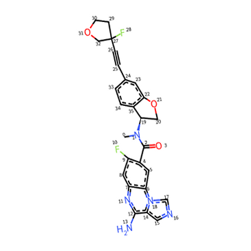 CN(C(=O)c1cc2c(cc1F)nc(N)c1cncn12)[C@@H]1COc2cc(C#CC3(F)CCOC3)ccc21